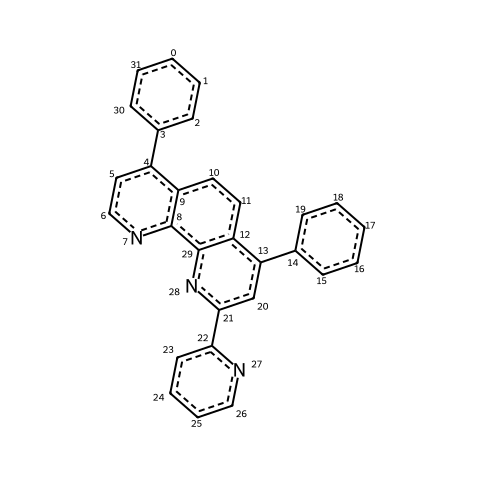 c1ccc(-c2ccnc3c2ccc2c(-c4ccccc4)cc(-c4ccccn4)nc23)cc1